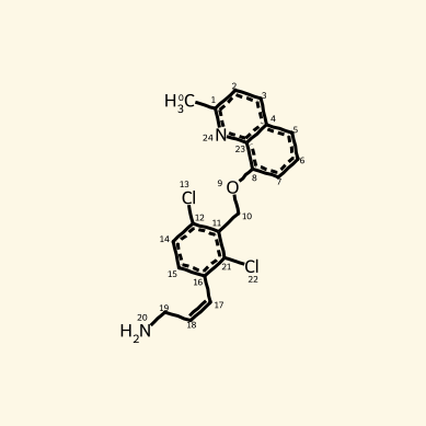 Cc1ccc2cccc(OCc3c(Cl)ccc(/C=C\CN)c3Cl)c2n1